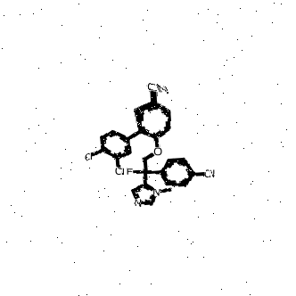 Cn1cncc1C(F)(COc1ccc(C#N)cc1-c1ccc(Cl)c(Cl)c1)c1ccc(C#N)cc1